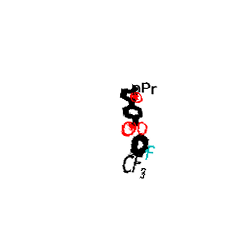 CCCC1CCC(C2CCC(C(=O)Oc3ccc(C(F)(F)F)c(F)c3)CC2)O1